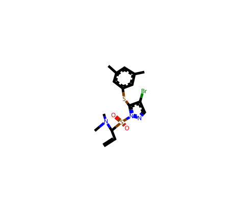 C=CC(N(C)C)S(=O)(=O)n1ncc(Br)c1Sc1cc(C)cc(C)c1